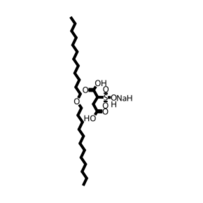 CCCCCCCCCCCCOCCCCCCCCCCCC.O=C(O)CC(C(=O)O)S(=O)(=O)O.[NaH]